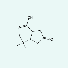 O=C1CC(C(=O)O)C(C(F)(F)F)C1